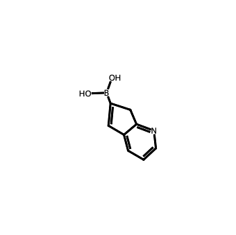 OB(O)C1=Cc2cccnc2C1